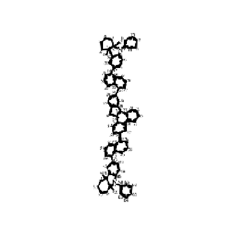 CC12CCCCC1(C)N(c1ccccc1)c1ccc(-c3cccc4c(-c5ccc6c(c5)-c5c(c7ccc(-c8cccc9c(-c%10ccc%11c(c%10)C%10(C)CCCCC%10(C)N%11c%10ccccc%10)cccc89)cc7c7ccccc57)C6)cccc34)cc12